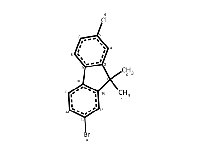 CC1(C)c2cc(Cl)ccc2-c2ccc(Br)cc21